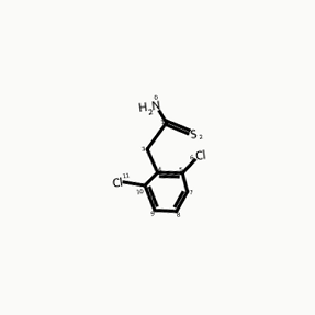 NC(=S)Cc1c(Cl)cccc1Cl